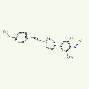 CCC(C)Cc1ccc(C#Cc2ccc(-c3cc(C)c(N=C=S)c(Cl)c3)cc2)cc1